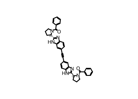 O=C(c1ccccc1)N1CCC[C@H]1c1nc2cc(C#Cc3ccc4nc([C@@H]5CCCN5C(=O)c5ccccc5)[nH]c4c3)ccc2[nH]1